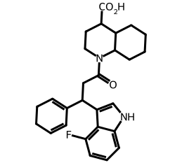 O=C(O)C1CCN(C(=O)CC(C2=CCCC=C2)c2c[nH]c3cccc(F)c23)C2CCCCC12